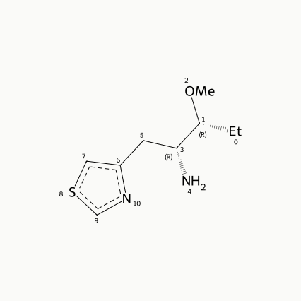 CC[C@@H](OC)[C@H](N)Cc1cscn1